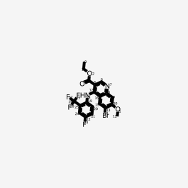 CCOC(=O)c1cnc2cc(OC)c(Br)cc2c1Nc1ccc(F)cc1C(F)(F)F